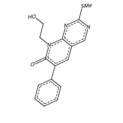 CSc1ncc2cc(-c3ccccc3)c(=O)n(CCO)c2n1